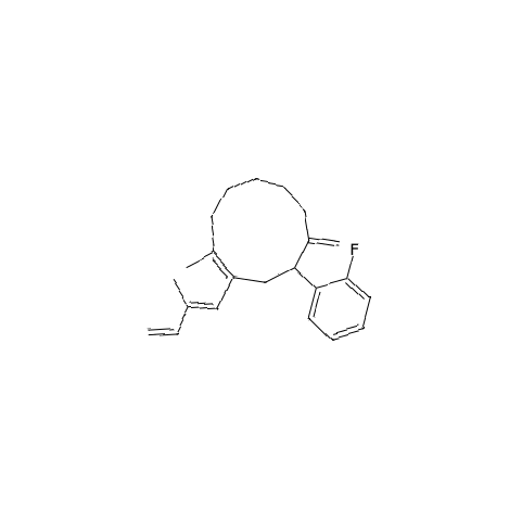 C=C/C(C)=C/C1=C(\C)CCCCCC(=C)C(c2ccccc2F)C1